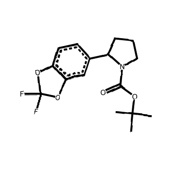 CC(C)(C)OC(=O)N1CCCC1c1ccc2c(c1)OC(F)(F)O2